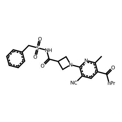 CCCC(=O)c1cc(C#N)c(N2CC(C(=O)NS(=O)(=O)Cc3ccccc3)C2)nc1C